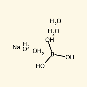 O.O.O.O.OB(O)O.[Na]